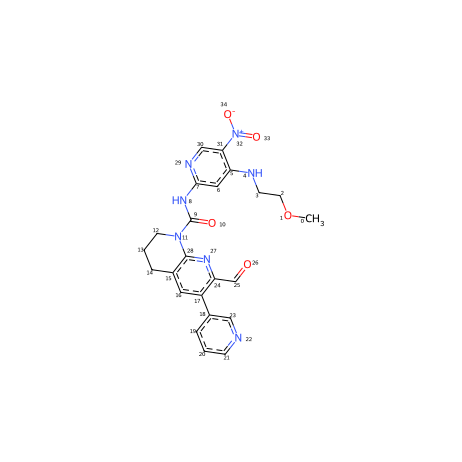 COCCNc1cc(NC(=O)N2CCCc3cc(-c4cccnc4)c(C=O)nc32)ncc1[N+](=O)[O-]